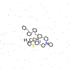 CC1(C)c2ccccc2Sc2cc(-c3cccc(N(c4ccccc4)c4cccc(-c5ccc(Cc6ccccc6-c6ccccc6Cc6ccccc6)cc5)c4)c3)ccc21